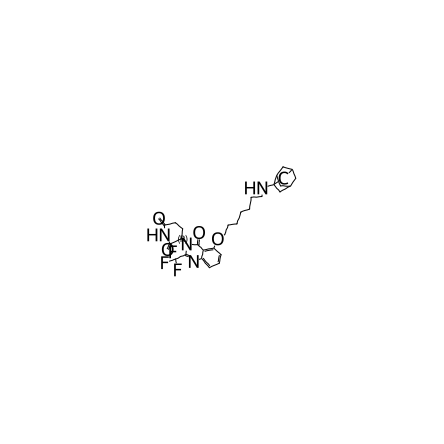 O=C1CC[C@@H](n2c(C(F)(F)F)nc3cccc(OCCCCCCCNC45CC6CC(CC4C6)C5)c3c2=O)C(=O)N1